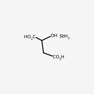 O=C(O)CC(O)C(=O)O.[SbH3]